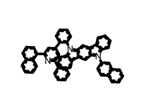 c1ccc(-c2cc(-c3ccccc3-n3c4ccccc4c4cc5c(cc43)c3ccccc3n5-c3ccc4ccccc4c3)cc(-c3cccc4ccccc34)n2)cc1